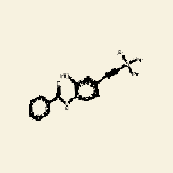 CC(C)[Si](C#Cc1ccc(NC(=O)c2ccccc2)c(O)c1)(C(C)C)C(C)C